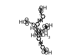 COc1cc(N=Nc2ccc(S(=O)(=O)O)cc2)ccc1Nc1nc(NCCS(=O)(=O)O)nc(Nc2ccc(N=Nc3cccc(SOOO)c3)cc2OCCCS(=O)(=O)O)n1